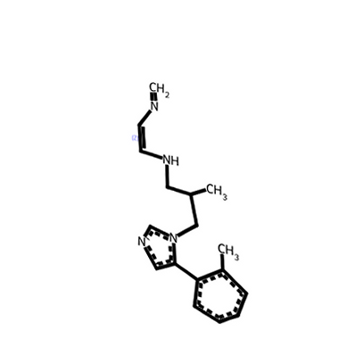 C=N/C=C\NCC(C)Cn1cncc1-c1ccccc1C